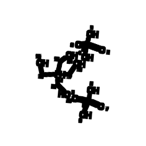 O=S(=O)(O)O.O=S(=O)(O)O.OC[PH](CO)(CO)CO